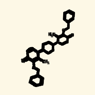 Cc1c(OCc2ccccc2)c(=O)ccn1C1CCC(n2ccc(=O)c(OCc3ccccc3)c2C)CC1